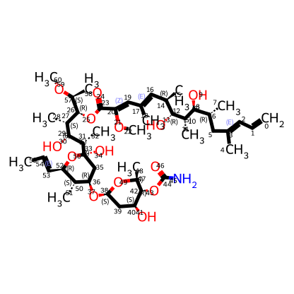 C=C/C=C(\C)C[C@@H](C)[C@H](O)[C@H](C)[C@H](O)[C@H](C)/C=C(C)/C=C(\OC)C(=O)O[C@H]([C@@H](C)[C@@H](O)[C@H](C)[C@@]1(O)C[C@@H](O[C@@H]2C[C@H](O)[C@@H](OC(N)=O)[C@H](C)O2)[C@H](C)[C@@H](/C=C/C)O1)[C@H](C)OC